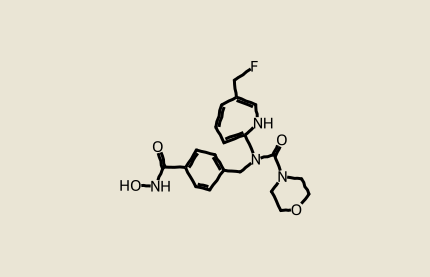 O=C(NO)c1ccc(CN(C(=O)N2CCOCC2)C2=CC=CC(CF)=CN2)cc1